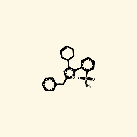 NS(=O)(=O)c1ccccc1-c1oc(Cc2ccccc2)nc1C1CC=CCC1